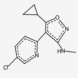 CNc1noc(C2CC2)c1-c1ccc(Cl)cn1